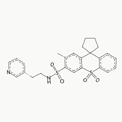 Cc1cc2c(cc1S(=O)(=O)NCCc1cccnc1)S(=O)(=O)c1ccccc1C21CCCC1